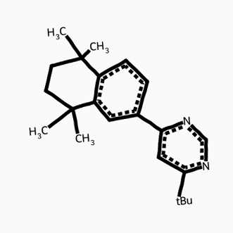 CC(C)(C)c1cc(-c2ccc3c(c2)C(C)(C)CCC3(C)C)ncn1